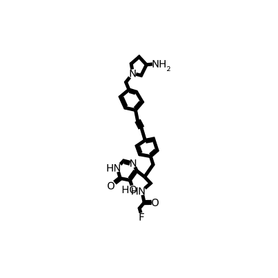 NC1CCN(Cc2ccc(C#Cc3ccc(CC(CNC(=O)CF)c4nc[nH]c(=O)c4O)cc3)cc2)C1